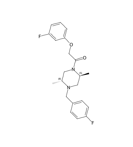 C[C@@H]1CN(C(=O)COc2cccc(F)c2)[C@@H](C)CN1Cc1ccc(F)cc1